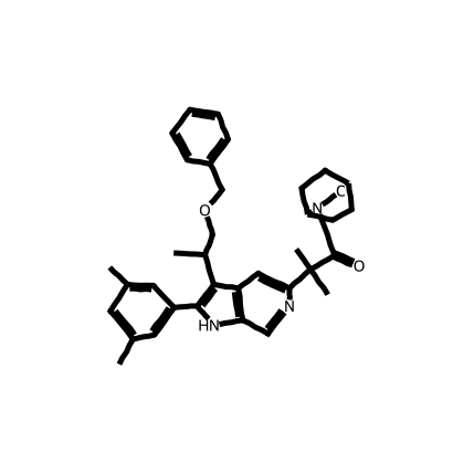 Cc1cc(C)cc(-c2[nH]c3cnc(C(C)(C)C(=O)N4CC5CCC4CC5)cc3c2C(C)COCc2ccccc2)c1